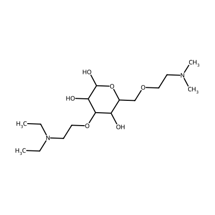 CCN(CC)CCOC1C(O)C(O)OC(COCCN(C)C)C1O